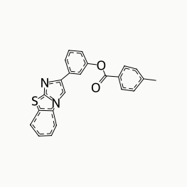 Cc1ccc(C(=O)Oc2cccc(-c3cn4c(n3)sc3ccccc34)c2)cc1